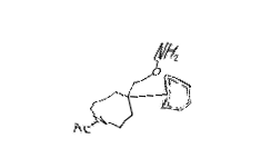 CC(=O)N1CCC(CON)(c2ccccc2)CC1